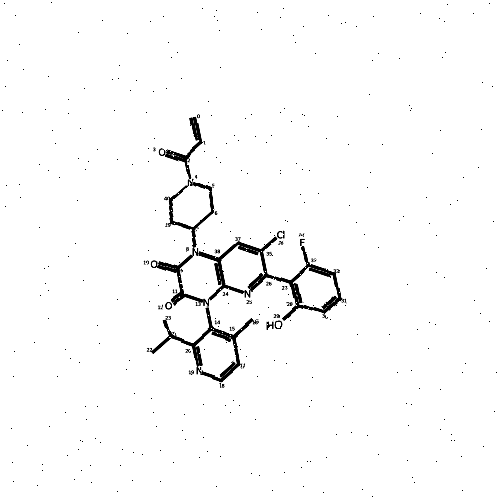 C=CC(=O)N1CCC(n2c(=O)c(=O)n(-c3c(C)ccnc3C(C)C)c3nc(-c4c(O)cccc4F)c(Cl)cc32)CC1